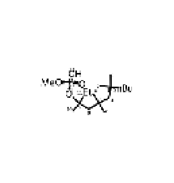 CCCCC(C)(C)CC(C)(C)CC(C)(CC)OP(=O)(O)OC